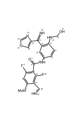 CNc1cc(F)c(C(=O)Nc2ccc(NCO)c(C(=N)c3cocn3)c2)c(F)c1C=N